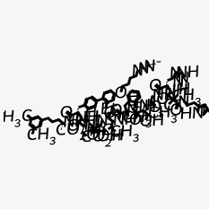 CCc1cc(OCCCCN=[N+]=[N-])ccc1-c1ccc(C[C@H](NC(=O)[C@H](CC(=O)O)NC(=O)[C@H](CO)NC(=O)[C@@H](NC(=O)C(C)(Cc2ccccc2F)NC(=O)[C@@H](NC(=O)CNC(=O)[C@H](Cc2nn[nH]n2)NC(=O)C(C)(C)C(=O)NCCc2cnc[nH]2)[C@@H](C)O)[C@@H](C)O)C(=O)N[C@@H](CCCc2cc(C)cc(C)c2)C(=O)O)cc1